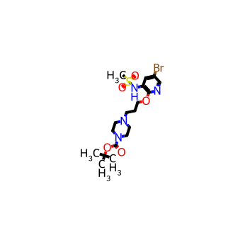 CC(C)(C)OC(=O)N1CCN(CCCOc2ncc(Br)cc2NS(C)(=O)=O)CC1